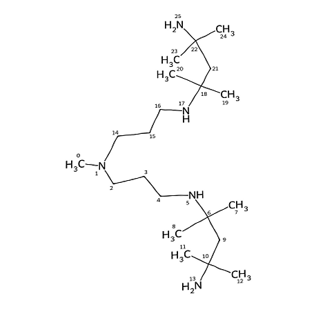 CN(CCCNC(C)(C)CC(C)(C)N)CCCNC(C)(C)CC(C)(C)N